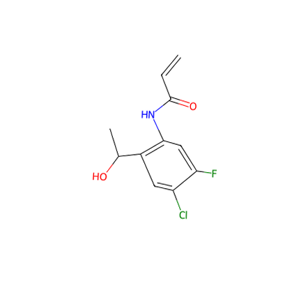 C=CC(=O)Nc1cc(F)c(Cl)cc1C(C)O